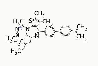 C=N/N=C(/C)N1CC(CC(=C)CC)N=C(c2ccc(-c3ccc(C(=C)C)cc3)cc2)c2c1sc(C)c2C